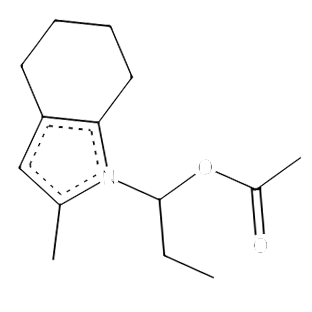 CCC(OC(C)=O)n1c(C)cc2c1CCCC2